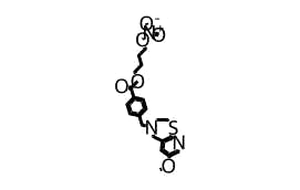 COc1cnc2c(c1)CN(Cc1ccc(C(=O)OCCCCO[N+](=O)[O-])cc1)CCS2